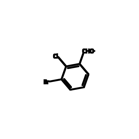 O=[C]c1cccc(Br)c1Cl